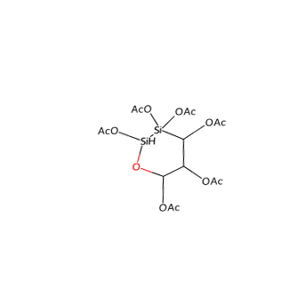 CC(=O)OC1O[SiH](OC(C)=O)[Si](OC(C)=O)(OC(C)=O)C(OC(C)=O)C1OC(C)=O